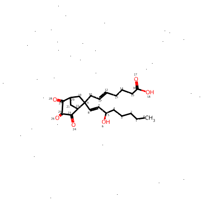 CCCCCC(O)C=CC1(CC=CCCCC(=O)O)CC2CC1C(=O)C(=O)C2=O